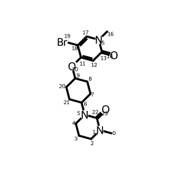 CN1CCCN(C2CCC(Oc3cc(=O)n(C)cc3Br)CC2)C1=O